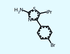 CC(C)c1sc(N)nc1-c1ccc(Br)cc1